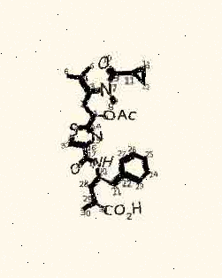 CC(=O)O[C@H](CC(=C(C)C)N(C)C(=O)C1CC1)c1nc(C(=O)N[C@@H](Cc2ccccc2)C[C@H](C)C(=O)O)cs1